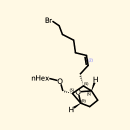 CCCCCCOC[C@@H]1[C@H](C/C=C\CCCCBr)[C@@H]2CC[C@H]1O2